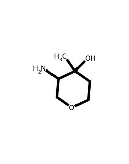 CC1(O)CCOCC1N